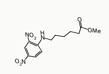 COC(=O)CCCCCNc1ccc([N+](=O)[O-])cc1[N+](=O)[O-]